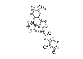 Cc1cc(-c2noc(NC(=O)Cc3cccc(Cl)c3Cl)c2-c2ccncn2)ccc1F